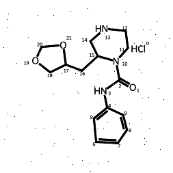 Cl.O=C(Nc1ccccc1)N1CCNCC1CC1COCO1